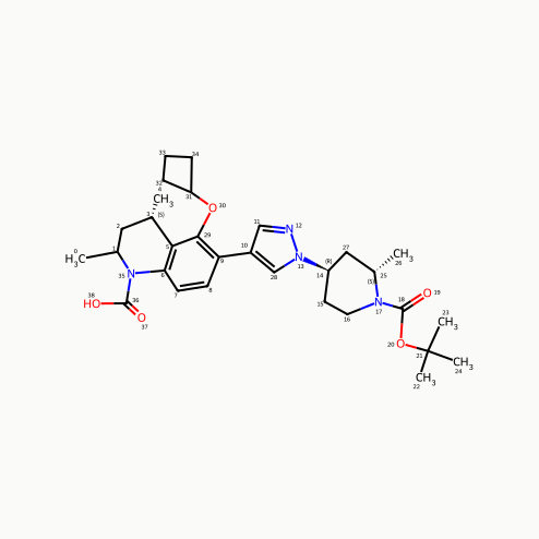 CC1C[C@H](C)c2c(ccc(-c3cnn([C@@H]4CCN(C(=O)OC(C)(C)C)[C@@H](C)C4)c3)c2OC2CCC2)N1C(=O)O